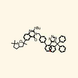 CCCCc1nc2ccc(C3(C)CC4CCC(C)(C)N4O3)cc2c(=O)n1Cc1ccc(-c2ccccc2-c2nnnn2C(c2ccccc2)(c2ccccc2)c2ccccc2)cc1